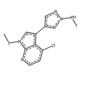 Clc1ccnc2c1c(-c1cnn(PI)c1)cn2SI